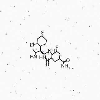 CC(=N)/C(=C1\NNC2CC(C(N)=O)CC(F)C2N1)C1CCC(F)CC1Cl